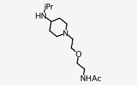 CC(=O)NCCOCCN1CCC(NC(C)C)CC1